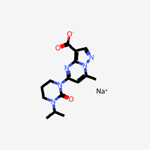 Cc1cc(N2CCCN(C(C)C)C2=O)nc2c(C(=O)[O-])cnn12.[Na+]